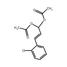 CC(=O)OC(C=Cc1ccccc1Cl)OC(C)=O